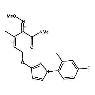 CNC(=O)C(=N/OC)/C(C)=C\COc1ccn(-c2ccc(F)cc2C)n1